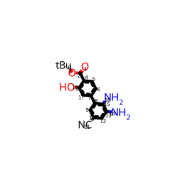 CC(C)(C)OC(=O)c1ccc(-c2cc(C#N)cc(N)c2N)cc1O